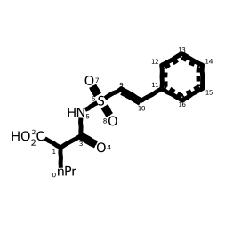 CCCC(C(=O)O)C(=O)NS(=O)(=O)C=Cc1ccccc1